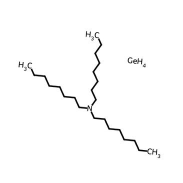 CCCCCCCCN(CCCCCCCC)CCCCCCCC.[GeH4]